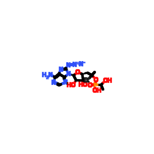 CCC(C)(C[C@H]1O[C@@H](n2c(N=[N+]=[N-])nc3c(N)ncnc32)[C@H](O)[C@@H]1O)OP(=O)(O)C(C)O